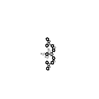 Cc1cc(C)c(-c2nc(-c3ccc4oc5ccc(-n6c7ccccc7n7c8ccccc8nc67)cc5c4c3)nc(-c3ccc4oc5ccc(-n6c7ccccc7n7c8ccccc8nc67)cc5c4c3)n2)c(C)c1